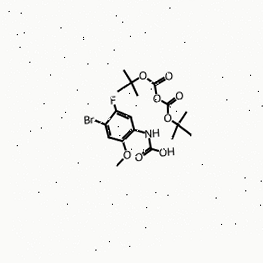 CC(C)(C)OC(=O)OC(=O)OC(C)(C)C.COc1cc(Br)c(F)cc1NC(=O)O